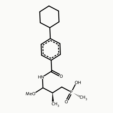 COC(NC(=O)c1ccc(C2CCCCC2)cc1)[C@H](C)C[P@](C)(=O)O